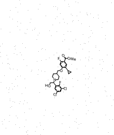 COC(=O)c1cc(C2CC2)c(OCC2CCN(C(CO)c3cc(Cl)cc(Cl)c3F)CC2)cc1F